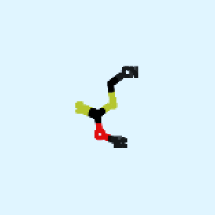 CCOC(=S)SCC#N